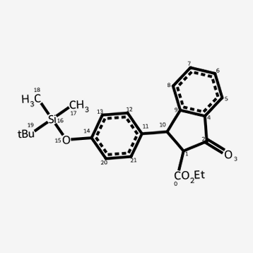 CCOC(=O)C1C(=O)c2ccccc2C1c1ccc(O[Si](C)(C)C(C)(C)C)cc1